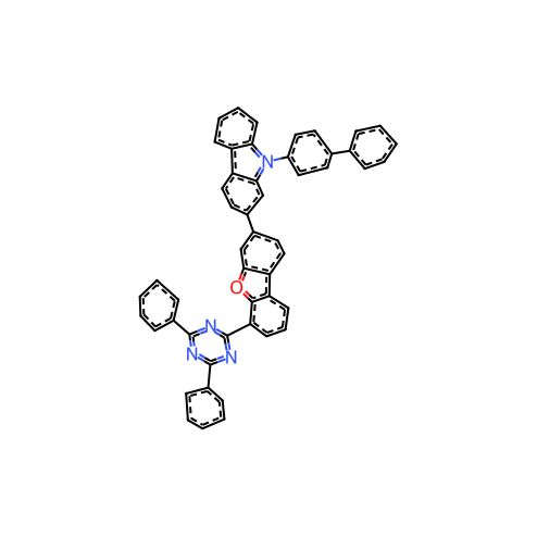 c1ccc(-c2ccc(-n3c4ccccc4c4ccc(-c5ccc6c(c5)oc5c(-c7nc(-c8ccccc8)nc(-c8ccccc8)n7)cccc56)cc43)cc2)cc1